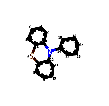 [c]1ccc2c(c1)Sc1ccccc1N2c1ccccc1